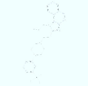 CCCn1c(CCN2CCN(c3cccc(C(F)(F)F)c3)CC2)nc2ccc3ccccc3c21